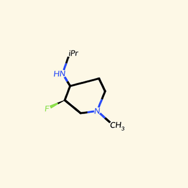 CC(C)NC1CCN(C)C[C@H]1F